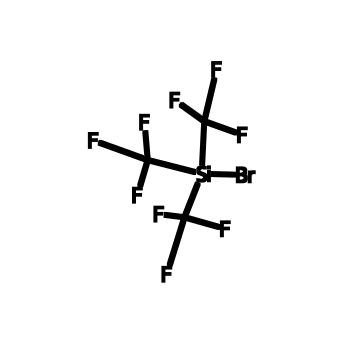 FC(F)(F)[Si](Br)(C(F)(F)F)C(F)(F)F